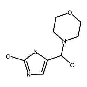 [O]C(c1cnc(Cl)s1)N1CCOCC1